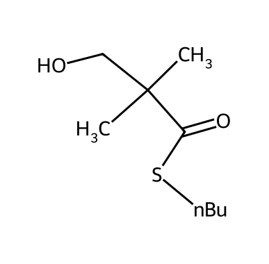 CCCCSC(=O)C(C)(C)CO